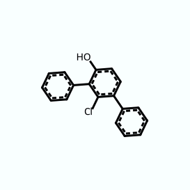 Oc1ccc(-c2ccccc2)c(Cl)c1-c1ccccc1